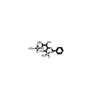 CCCCCCCCCCS(=O)(=O)NC(CCCC)C(O)C(OCc1ccccc1)C(O)P(=O)(O)O